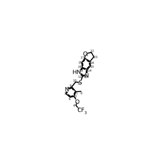 Cc1c(OCC(F)(F)F)ccnc1CSc1nc2cc3c(cc2[nH]1)OCC3